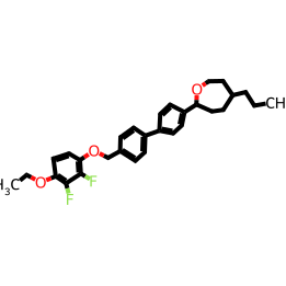 CCCC1CCOC(c2ccc(-c3ccc(COc4ccc(OCC)c(F)c4F)cc3)cc2)CC1